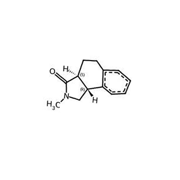 CN1C[C@H]2c3ccccc3CC[C@@H]2C1=O